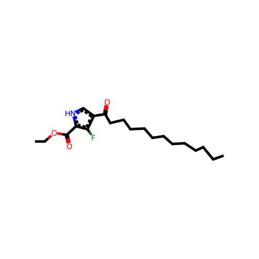 CCCCCCCCCCCCC(=O)c1c[nH]c(C(=O)OCC)c1F